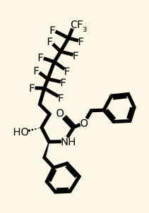 O=C(N[C@@H](Cc1ccccc1)[C@H](O)CCC(F)(F)C(F)(F)C(F)(F)C(F)(F)C(F)(F)C(F)(F)F)OCc1ccccc1